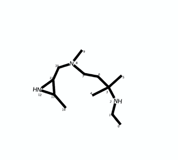 CCNC(C)(C)CCN(C)CC1NC1C